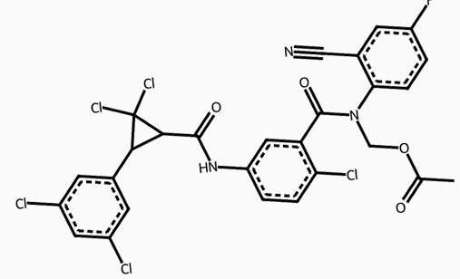 CC(=O)OCN(C(=O)c1cc(NC(=O)C2C(c3cc(Cl)cc(Cl)c3)C2(Cl)Cl)ccc1Cl)c1ccc(F)cc1C#N